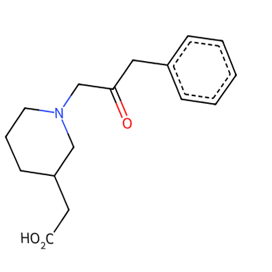 O=C(O)CC1CCCN(CC(=O)Cc2ccccc2)C1